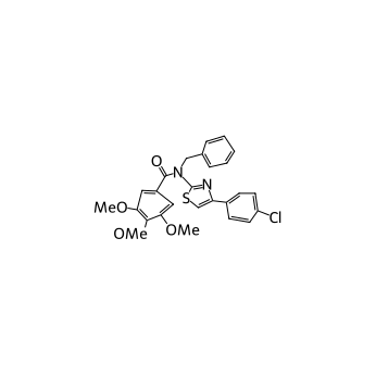 COc1cc(C(=O)N(Cc2ccccc2)c2nc(-c3ccc(Cl)cc3)cs2)cc(OC)c1OC